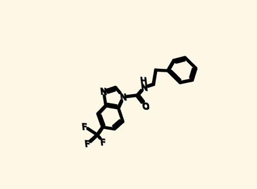 O=C(NCCc1ccccc1)n1cnc2cc(C(F)(F)F)ccc21